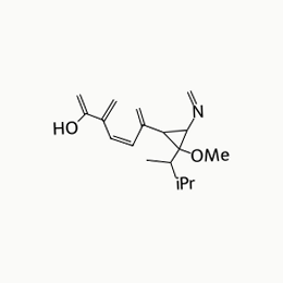 C=NC1C(C(=C)/C=C\C(=C)C(=C)O)C1(OC)C(C)C(C)C